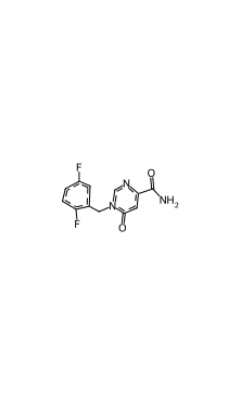 NC(=O)c1cc(=O)n(Cc2cc(F)ccc2F)cn1